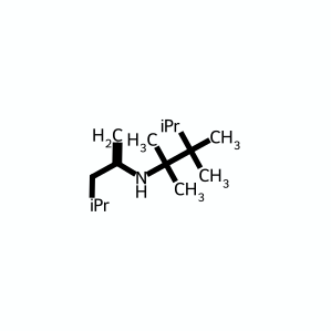 C=C(CC(C)C)NC(C)(C)C(C)(C)C(C)C